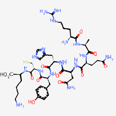 C[C@H](NC(=O)[C@@H](N)CCCNC(=N)N)C(=O)N[C@@H](CCC(N)=O)C(=O)N[C@@H](CC(N)=O)C(=O)N[C@@H](Cc1c[nH]cn1)C(=O)N[C@@H](Cc1ccc(O)cc1)C(=O)N[C@@H](CS)C(=O)N[C@@H](CCCCN)C(=O)O